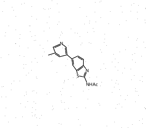 CC(=O)Nc1nc2ccc(-c3cncc(C)c3)cc2s1